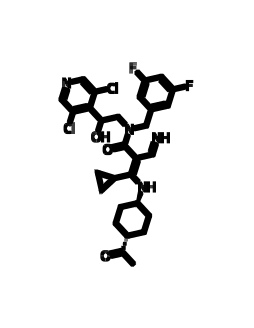 CC(=O)[C@H]1CC[C@H](N/C(=C(\C=N)C(=O)N(Cc2cc(F)cc(F)c2)CC(O)c2c(Cl)cncc2Cl)C2CC2)CC1